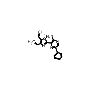 C=Cc1nc(-c2nc(-c3ccccc3)cnc2N)sc1C=C